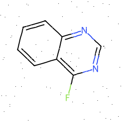 Fc1n[c]nc2ccccc12